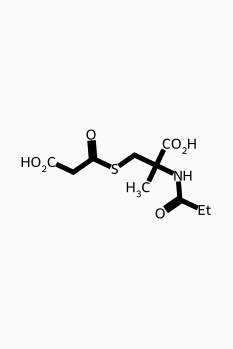 CCC(=O)NC(C)(CSC(=O)CC(=O)O)C(=O)O